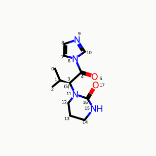 CC(C)[C@@H](C(=O)n1ccnc1)N1CCCNC1=O